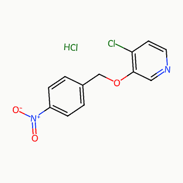 Cl.O=[N+]([O-])c1ccc(COc2cnccc2Cl)cc1